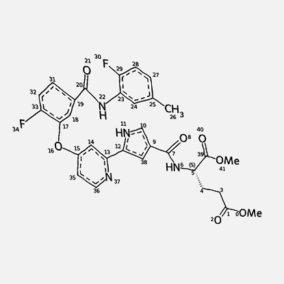 COC(=O)CC[C@H](NC(=O)c1c[nH]c(-c2cc(Oc3cc(C(=O)Nc4cc(C)ccc4F)ccc3F)ccn2)c1)C(=O)OC